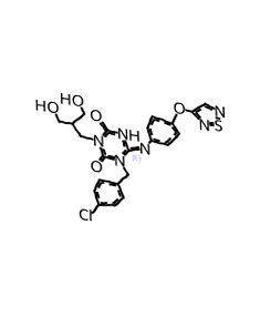 O=c1[nH]/c(=N\c2ccc(Oc3cnsn3)cc2)n(Cc2ccc(Cl)cc2)c(=O)n1CC(CO)CO